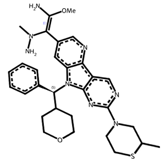 CO/C(N)=C(\c1cnc2c3cnc(N4CCSC(C)C4)nc3n([C@H](c3ccccc3)C3CCOCC3)c2c1)N(C)N